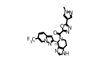 Cn1cc(-c2nnc(C(=O)N3CCc4[nH]cnc4[C@H]3c3cc4ccc(C(F)(F)F)cn4n3)o2)cn1